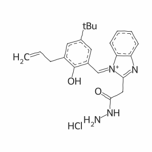 C=CCc1cc(C(C)(C)C)cc(C=[N+]2C(CC(=O)NN)=Nc3ccccc32)c1O.Cl